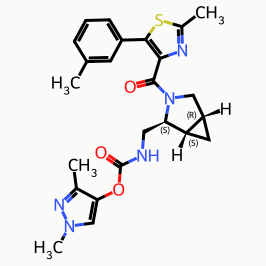 Cc1cccc(-c2sc(C)nc2C(=O)N2C[C@@H]3C[C@@H]3[C@H]2CNC(=O)Oc2cn(C)nc2C)c1